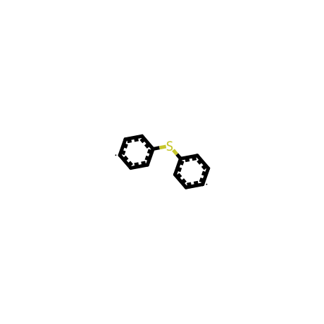 [c]1ccc(Sc2cc[c]cc2)cc1